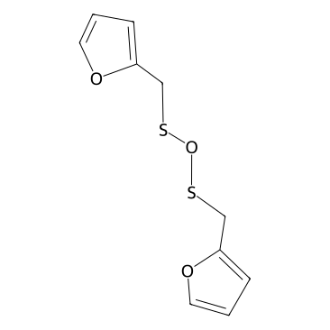 c1coc(CSOSCc2ccco2)c1